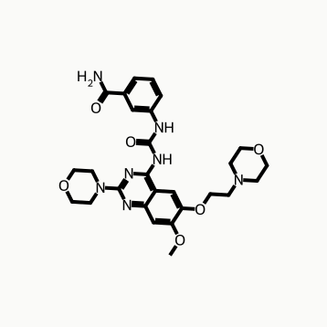 COc1cc2nc(N3CCOCC3)nc(NC(=O)Nc3cccc(C(N)=O)c3)c2cc1OCCN1CCOCC1